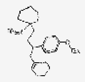 CCCCCC1(CCC(CC2=CCCCC2)c2ccc(OCC)cc2)CCCCC1